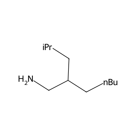 CCCCCC(CN)CC(C)C